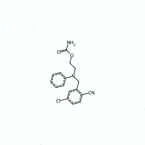 N#Cc1ccc(Cl)cc1CN(CCOC(N)=O)c1ccccc1